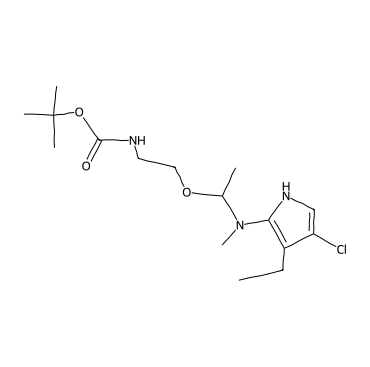 CCc1c(Cl)c[nH]c1N(C)C(C)OCCNC(=O)OC(C)(C)C